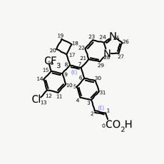 O=C(O)/C=C/c1ccc(/C(=C(\c2ccc(Cl)cc2C(F)(F)F)C2CCC2)c2ccc3nccn3c2)cc1